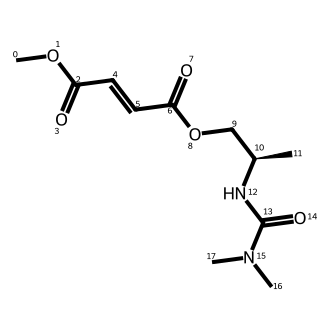 COC(=O)/C=C/C(=O)OC[C@@H](C)NC(=O)N(C)C